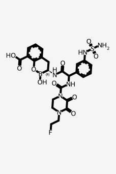 NS(=O)(=O)Nc1cccc(C(NC(=O)N2CCN(CCF)C(=O)C2=O)C(=O)N[C@H]2Cc3cccc(C(=O)O)c3OB2O)c1